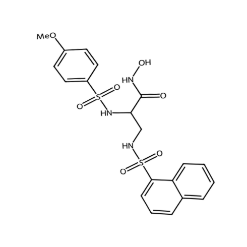 COc1ccc(S(=O)(=O)NC(CNS(=O)(=O)c2cccc3ccccc23)C(=O)NO)cc1